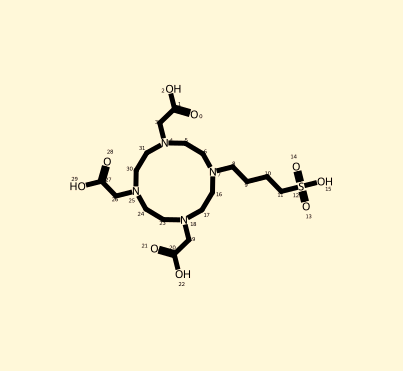 O=C(O)CN1CCN(CCCCS(=O)(=O)O)CCN(CC(=O)O)CCN(CC(=O)O)CC1